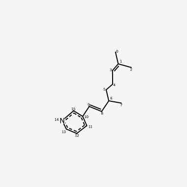 CC(C)=CCCC(C)/C=C/c1cccnc1